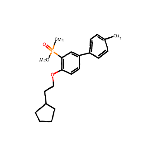 COP(=O)(OC)c1cc(-c2ccc(C)cc2)ccc1OCCC1CCCC1